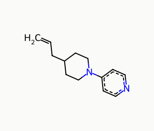 C=CCC1CCN(c2ccncc2)CC1